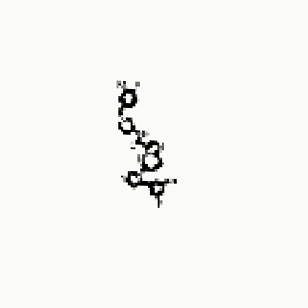 CSc1cc(F)cc(C2CC(F)CN2c2ccc3ncc(C(=O)NC4CCN(Cc5ccc(F)c(O)c5)C4)n3n2)c1